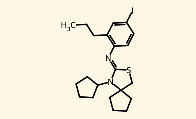 CCCc1cc(I)ccc1N=C1SCC2(CCCC2)N1C1CCCC1